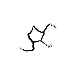 CCCCCCC1CCC(CC(C)C)C1O